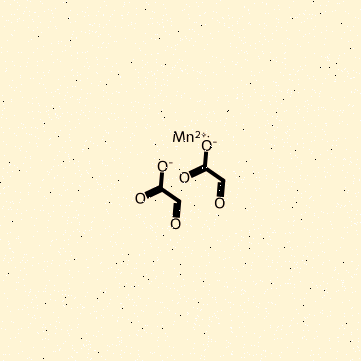 O=CC(=O)[O-].O=CC(=O)[O-].[Mn+2]